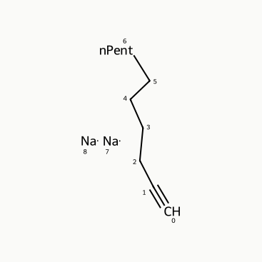 C#CCCCCCCCCC.[Na].[Na]